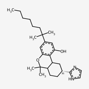 CCCCCCC(C)(C)c1cc(O)c2c(c1)OC(C)(C)C1CC[C@@H](c3ncc[nH]3)CC21